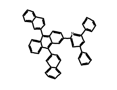 c1ccc(-c2cc(-c3ccccc3)nc(-c3ccc4c(-c5ccc6ccccc6c5)c5ccccc5c(-c5ccc6ccccc6c5)c4c3)c2)cc1